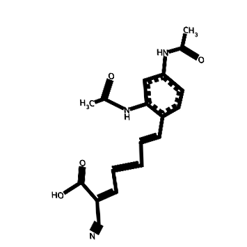 CC(=O)Nc1ccc(C=CC=CC=C(C#N)C(=O)O)c(NC(C)=O)c1